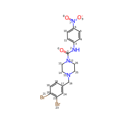 O=C(Nc1ccc([N+](=O)[O-])cc1)N1CCN(Cc2ccc(Br)c(Br)c2)CC1